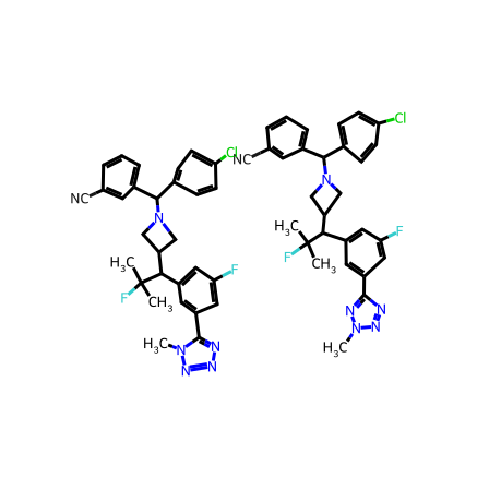 Cn1nnc(-c2cc(F)cc(C(C3CN(C(c4ccc(Cl)cc4)c4cccc(C#N)c4)C3)C(C)(C)F)c2)n1.Cn1nnnc1-c1cc(F)cc(C(C2CN(C(c3ccc(Cl)cc3)c3cccc(C#N)c3)C2)C(C)(C)F)c1